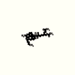 CCCCc1nc2c(N)nc3ccccc3c2n1Cc1ccc(NC(=O)[C@@H](N)CSCC(COC(C)=O)SOC(C)=O)cc1